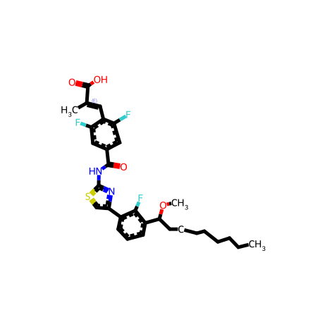 CCCCCCCCC(OC)c1cccc(-c2csc(NC(=O)c3cc(F)c(/C=C(\C)C(=O)O)c(F)c3)n2)c1F